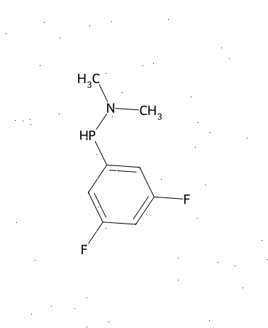 CN(C)Pc1cc(F)cc(F)c1